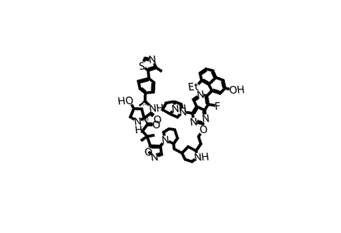 CCc1cccc2cc(O)cc(-c3ncc4c(N5CC6CCC(C5)N6)nc(OCCC5CC(CC6CCCCN6c6cnoc6C(C)(C)CC(=O)[C@]6(C(=O)N[C@@H](C)c7ccc(-c8scnc8C)cc7)CC(O)CN6)CCN5)nc4c3F)c12